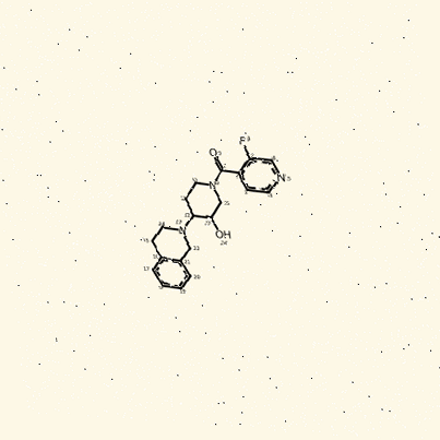 O=C(c1ccncc1F)N1CCC(N2CCc3ccccc3C2)C(O)C1